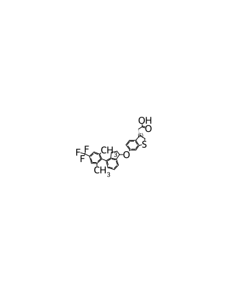 Cc1cc(C(F)(F)F)cc(C)c1-c1cccc2c1CCC2Oc1ccc2c(c1)SC[C@H]2CC(=O)O